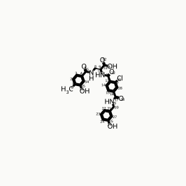 Cc1ccc(C(=O)NC[C@H](NC(=O)c2ccc(C(=O)NCc3cccc(O)c3)cc2Cl)C(=O)O)cc1O